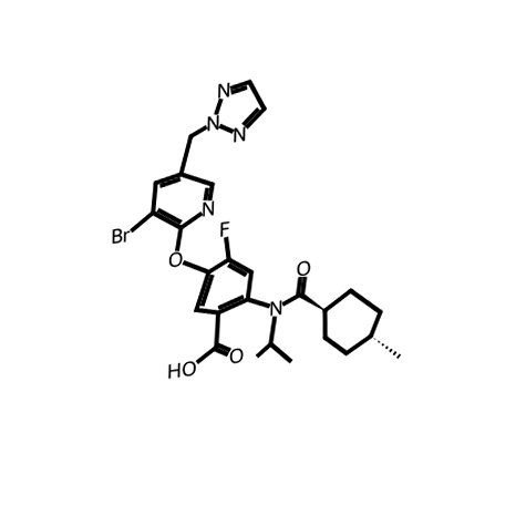 CC(C)N(c1cc(F)c(Oc2ncc(Cn3nccn3)cc2Br)cc1C(=O)O)C(=O)[C@H]1CC[C@H](C)CC1